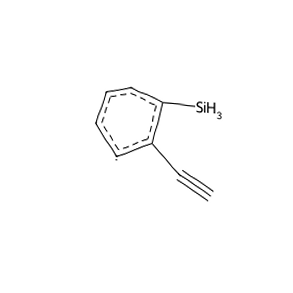 C#Cc1[c]cccc1[SiH3]